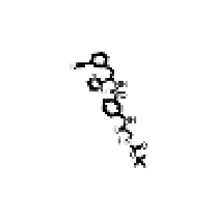 CC(C)(C)OC(=O)NCC(=O)Nc1cccc(S(=O)(=O)NC(Cc2cccc(C#N)c2)c2nccs2)c1